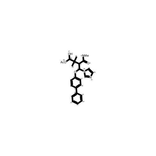 CNC(=O)C(C(Oc1ccc(-c2ccccc2)cc1)n1ccnc1)C(C)(C)C(O)OC(C)=O